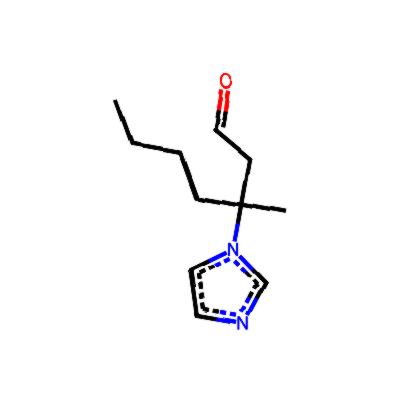 CCCCC(C)(CC=O)n1ccnc1